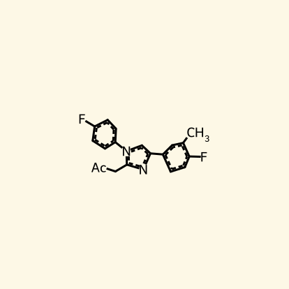 CC(=O)Cc1nc(-c2ccc(F)c(C)c2)cn1-c1ccc(F)cc1